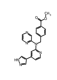 COC(=O)c1ccc(CN(c2cnccn2)c2cc(-c3cn[nH]c3)ccn2)cc1